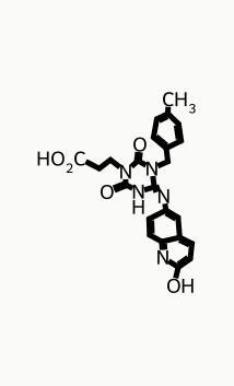 Cc1ccc(Cn2c(=O)n(CCC(=O)O)c(=O)[nH]/c2=N\c2ccc3nc(O)ccc3c2)cc1